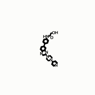 O=C(CO)Nc1ccc(-c2ccc3ncc(N4CCN(c5ccncc5)CC4)nc3c2)cc1